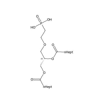 CCCCCCCC(=O)OC[C@H](COCCP(=O)(O)O)OC(=O)CCCCCCC